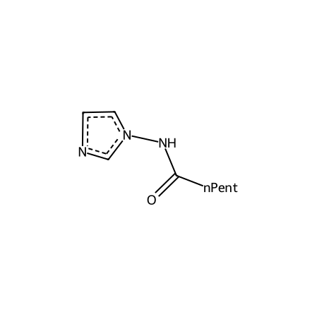 CCCCCC(=O)Nn1ccnc1